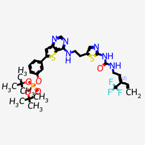 C=C/C(=C/CNC(=O)Nc1ncc(CCNc2ncnc3cc(-c4cccc(OP(=O)(OC(C)(C)C)OC(C)(C)C)c4)sc23)s1)C(F)(F)F